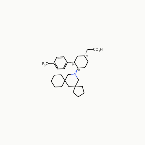 O=C(O)C[C@@H]1CC[C@@H](N2CC3(CCCCC3)CC3(CCCC3)C2)[C@H](c2ccc(C(F)(F)F)cc2)C1